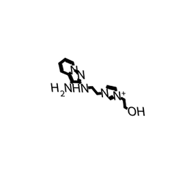 Nc1c(NCCn2cc[n+](CCO)c2)nn2ccccc12